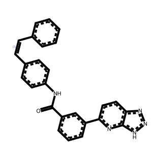 O=C(Nc1ccc(/C=C\c2ccccc2)cc1)c1cccc(-c2ccc3nn[nH]c3n2)c1